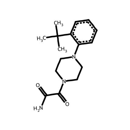 CC(C)(C)c1ccccc1N1CCN(C(=O)C(N)=O)CC1